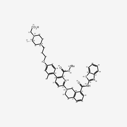 Cc1cc(OCCC[C@@H]2CCN(CC(=O)O)[C@@H](C)C2)ccc1-c1ccc(N2CCc3cccc(C(=O)Nc4nc5ccccc5s4)c3C2)nc1C(=O)OC(C)(C)C